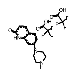 O=C(O)C(F)(F)F.O=C(O)C(F)(F)F.O=c1ccc2ccc(N3CCNCC3)cc2[nH]1